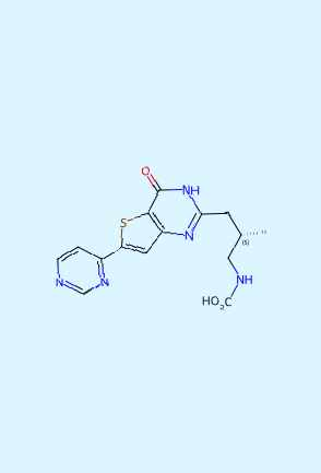 C[C@H](CNC(=O)O)Cc1nc2cc(-c3ccncn3)sc2c(=O)[nH]1